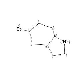 C[CH]C1CCC2NCCC2C1